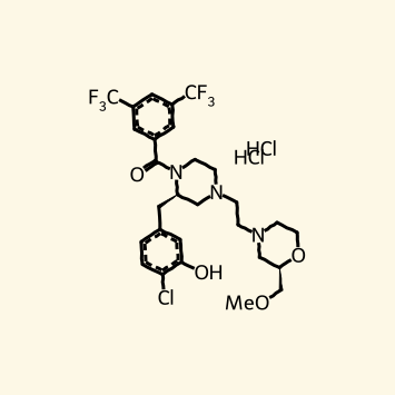 COC[C@H]1CN(CCN2CCN(C(=O)c3cc(C(F)(F)F)cc(C(F)(F)F)c3)[C@H](Cc3ccc(Cl)c(O)c3)C2)CCO1.Cl.Cl